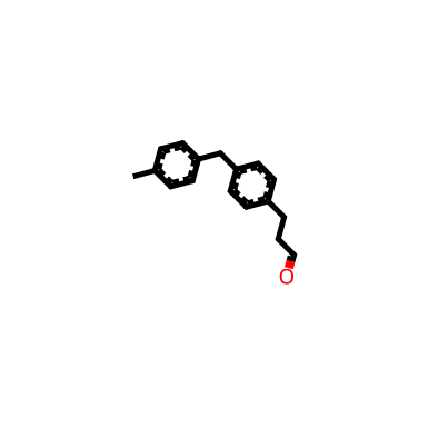 Cc1ccc(Cc2ccc(CCC=O)cc2)cc1